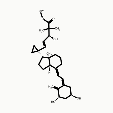 C=C1/C(=C\C=C2/CCC[C@]3(C)[C@@H](C4(/C=C/[C@H](O)C(C)(C)C(=O)OCCC)CC4)CC[C@@H]23)C[C@@H](O)C[C@@H]1O